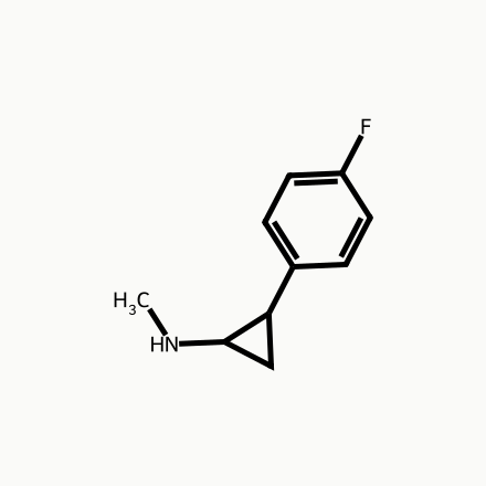 CNC1CC1c1ccc(F)cc1